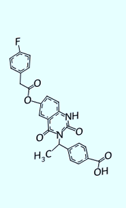 CC(c1ccc(C(=O)O)cc1)n1c(=O)[nH]c2ccc(OC(=O)Cc3ccc(F)cc3)cc2c1=O